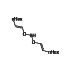 CCCCCCC=COBOC=CCCCCCC